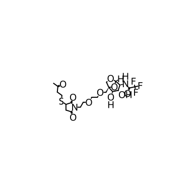 CC(=O)CCSC1CC(=O)N(CCOCCOC[C@@]23CO[C@@H](O2)[C@@H](NC(=O)C(F)(F)F)[C@@H](O)[C@H]3O)C1=O